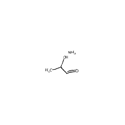 CC(O)C=O.N